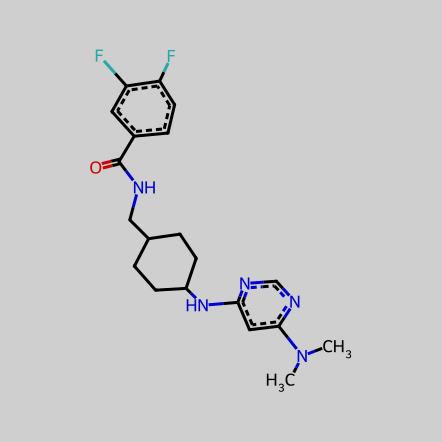 CN(C)c1cc(NC2CCC(CNC(=O)c3ccc(F)c(F)c3)CC2)ncn1